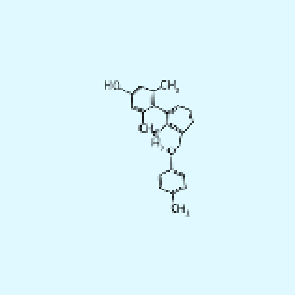 Cc1ccc(OCc2cccc(-c3c(C)cc(O)cc3C)c2C)cc1